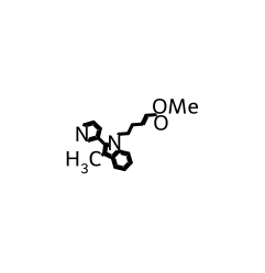 COC(=O)C=CCCCn1c(-c2cccnc2)c(C)c2ccccc21